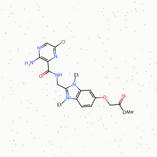 CCn1c(CNC(=O)c2nc(Cl)cnc2N)[n+](CC)c2ccc(OCC(=O)OC)cc21